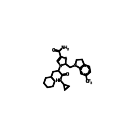 NC(=O)C1=CN(C(CC2CCCCC2)C(=O)NC2CC2)C(CN2CCc3ccc(C(F)(F)F)cc32)S1